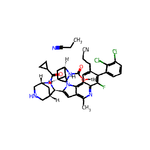 CCC#N.Cc1nc2c(F)c(-c3cccc(Cl)c3Cl)c(CCC#N)cc2c2c1cc([C@H]1[C@@H]3CNC[C@@H](C3)N1C(=O)C1CC1)n2[C@H]1[C@@H]2C[C@H]1N(C(=O)OC(C)(C)C)C2